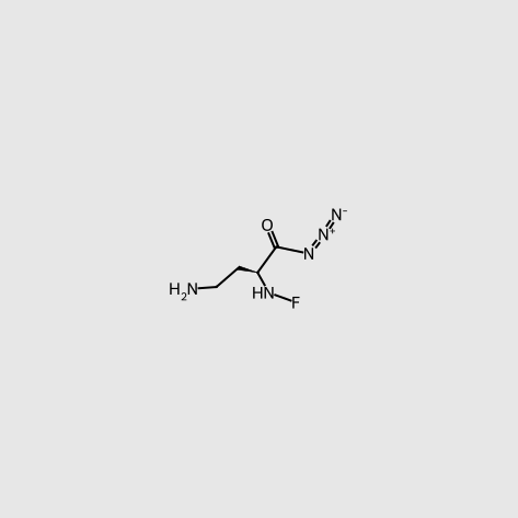 [N-]=[N+]=NC(=O)[C@H](CCN)NF